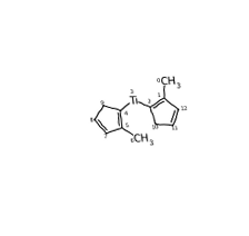 CC1=[C]([Ti][C]2=C(C)C=CC2)CC=C1